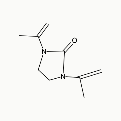 C=C(C)N1CCN(C(=C)C)C1=O